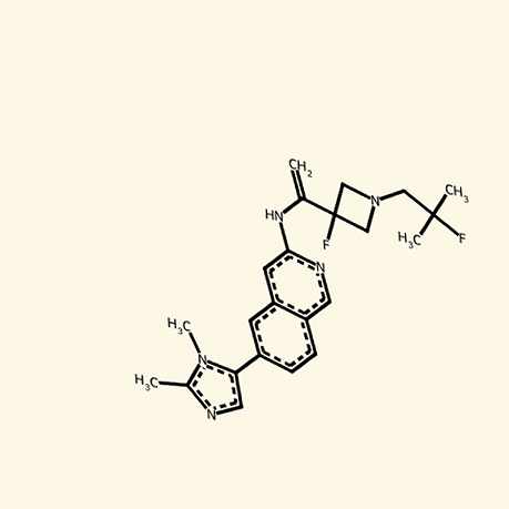 C=C(Nc1cc2cc(-c3cnc(C)n3C)ccc2cn1)C1(F)CN(CC(C)(C)F)C1